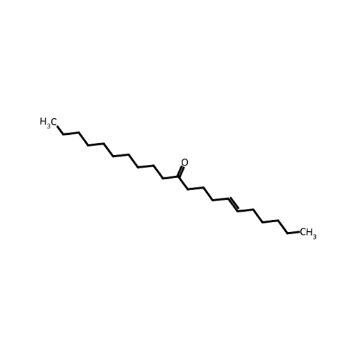 CCCCC/C=C/CCCC(=O)CCCCCCCCCC